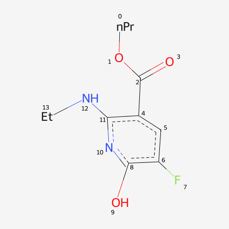 CCCOC(=O)c1cc(F)c(O)nc1NCC